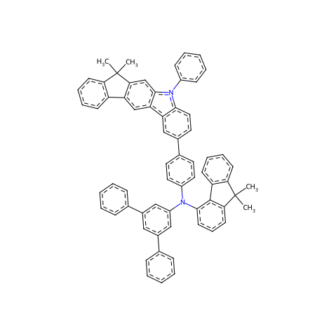 CC1(C)c2ccccc2-c2cc3c4cc(-c5ccc(N(c6cc(-c7ccccc7)cc(-c7ccccc7)c6)c6cccc7c6-c6ccccc6C7(C)C)cc5)ccc4n(-c4ccccc4)c3cc21